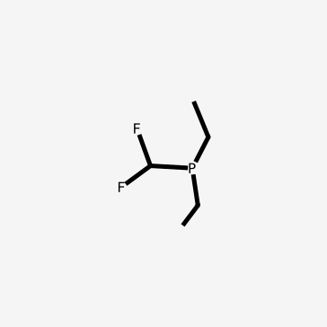 CCP(CC)C(F)F